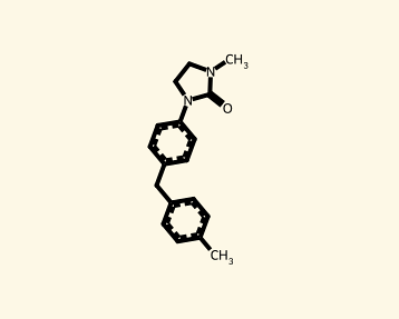 Cc1ccc(Cc2ccc(N3CCN(C)C3=O)cc2)cc1